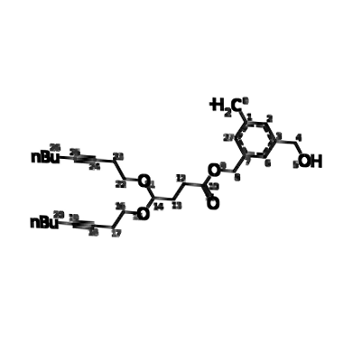 [CH2]c1cc(CO)cc(COC(=O)CCC(OCCC#CCCCC)OCCC#CCCCC)c1